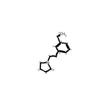 C=Cc1cccc(CCN2CCCC2)c1